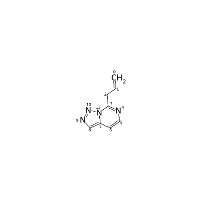 C=CCc1nccc2cnnn12